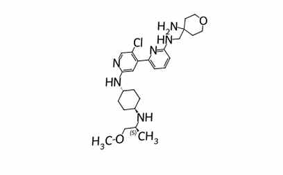 COC[C@H](C)N[C@H]1CC[C@H](Nc2cc(-c3cccc(NCC4(N)CCOCC4)n3)c(Cl)cn2)CC1